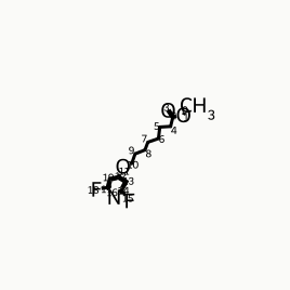 COC(=O)CCCCCCCOc1cc(F)nc(F)c1